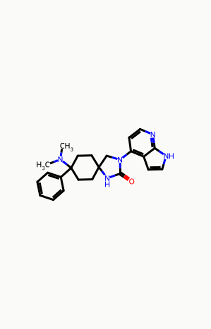 CN(C)C1(c2ccccc2)CCC2(CC1)CN(c1ccnc3[nH]ccc13)C(=O)N2